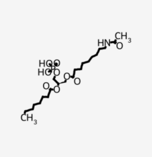 CCCCCCCC(=O)O[C@H](COC(=O)CCCCCCCCNC(C)=O)COP(=O)(O)O